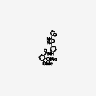 COc1cccc(C(=O)Nc2cccc(-c3nnc(-c4ccco4)o3)c2)c1OC